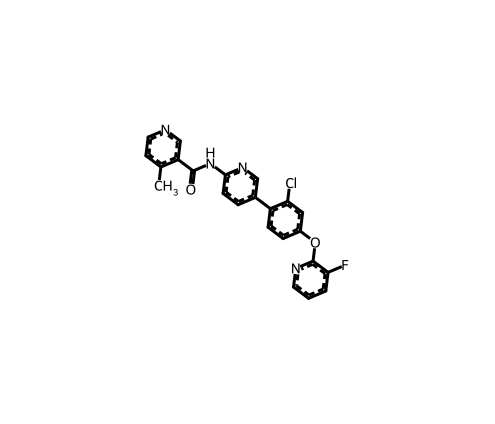 Cc1ccncc1C(=O)Nc1ccc(-c2ccc(Oc3ncccc3F)cc2Cl)cn1